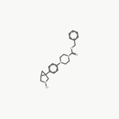 CCN1CC2CC2(c2ccc(N3CCN(C(=O)OCc4ccccc4)CC3)cc2)C1